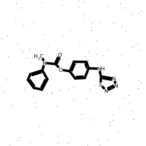 CN(C(=O)Oc1ccc(Nc2nnns2)cc1)c1ccccc1